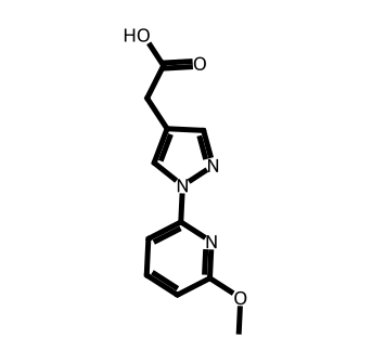 COc1cccc(-n2cc(CC(=O)O)cn2)n1